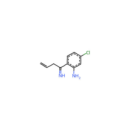 C=CCC(=N)c1ccc(Cl)cc1N